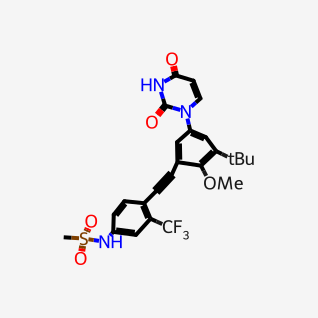 COc1c(C#Cc2ccc(NS(C)(=O)=O)cc2C(F)(F)F)cc(-n2ccc(=O)[nH]c2=O)cc1C(C)(C)C